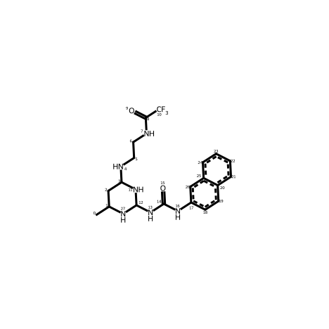 CC1CC(NCCNC(=O)C(F)(F)F)NC(NC(=O)Nc2ccc3ccccc3c2)N1